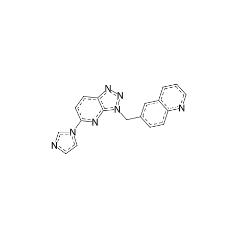 c1cnc2ccc(Cn3nnc4ccc(-n5ccnc5)nc43)cc2c1